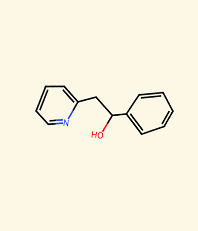 OC(Cc1ccccn1)c1ccccc1